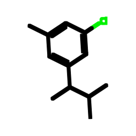 Cc1cc(Cl)cc(C(C)C(C)C)c1